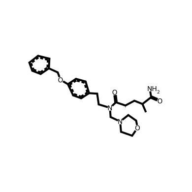 CC(C[CH]C(=O)N(CCc1ccc(OCc2ccccc2)cc1)CN1CCOCC1)C(N)=O